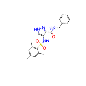 Cc1cc(C)c(S(=O)(=O)Nc2c[nH]nc2C(=O)NCc2ccccc2)c(C)c1